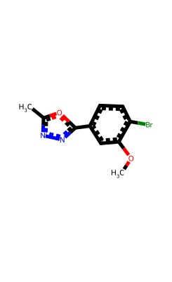 COc1cc(-c2nnc(C)o2)ccc1Br